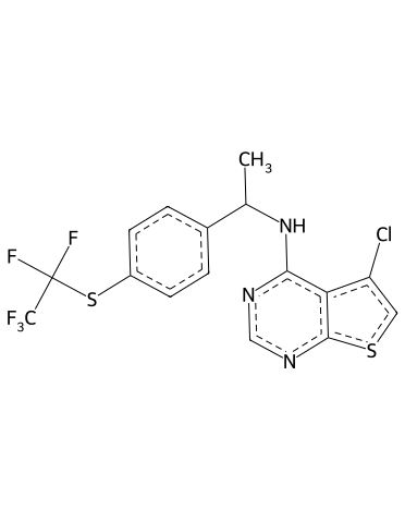 CC(Nc1ncnc2scc(Cl)c12)c1ccc(SC(F)(F)C(F)(F)F)cc1